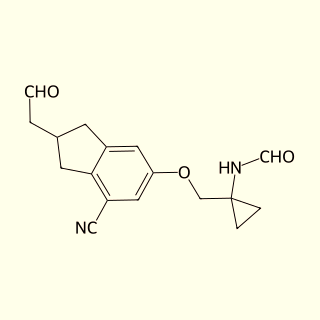 N#Cc1cc(OCC2(NC=O)CC2)cc2c1CC(CC=O)C2